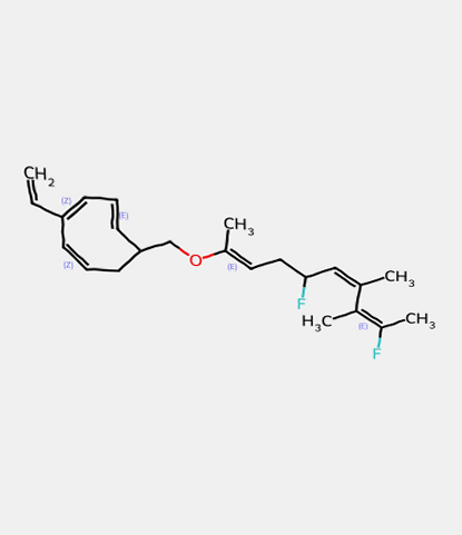 C=CC1=C/C=C/C(CO/C(C)=C/CC(F)C=C(C)/C(C)=C(\C)F)C/C=C\1